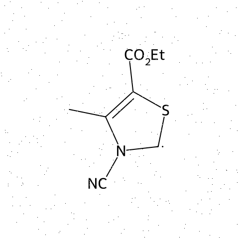 CCOC(=O)C1=C(C)N(C#N)[CH]S1